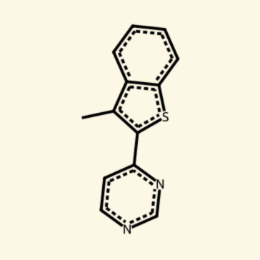 Cc1c(-c2ccncn2)sc2ccccc12